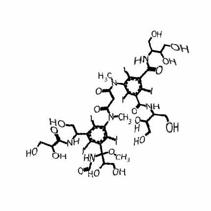 COC(NC=O)(c1c(I)c(C(CO)NC(=O)C(O)CO)c(I)c(N(C)C(=O)CC(=O)N(C)c2c(I)c(C(=O)NC(CO)C(O)CO)c(I)c(C(=O)NC(CO)C(O)CO)c2I)c1I)C(O)CO